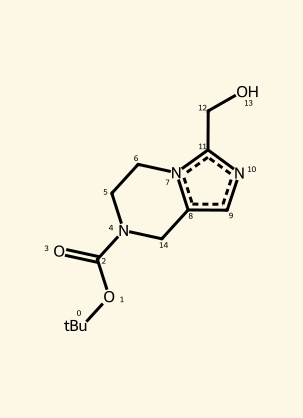 CC(C)(C)OC(=O)N1CCn2c(cnc2CO)C1